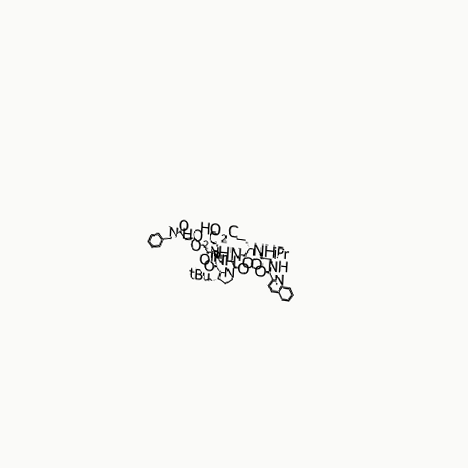 CC(C)[C@H](NC(=O)c1ccc2ccccc2n1)C(=O)N[C@@H](CCC(=O)O)C(=O)N[C@H](C(=O)N1CC[C@H](CC(C)(C)C)[C@H]1C(=O)NN(CC(=O)O)C(=O)CO/C=C/C(=O)N(C)Cc1ccccc1)C(C)C